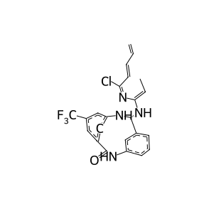 C=C/C=C/C(Cl)=N\C(=C/C)N[C@H]1Nc2cc(cc(C(F)(F)F)c2)C(=O)Nc2cccc1c2